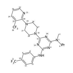 CC(C)N(C)c1nc(Nc2ccc(C(F)(F)F)cc2)nc(N2CCN(c3ncccc3C(F)(F)F)CC2)n1